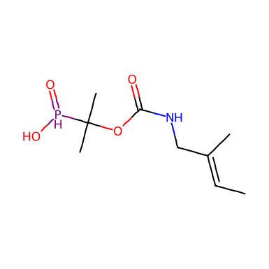 C/C=C(\C)CNC(=O)OC(C)(C)[PH](=O)O